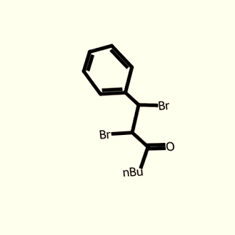 CCCCC(=O)C(Br)C(Br)c1ccccc1